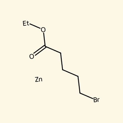 CCOC(=O)CCCCBr.[Zn]